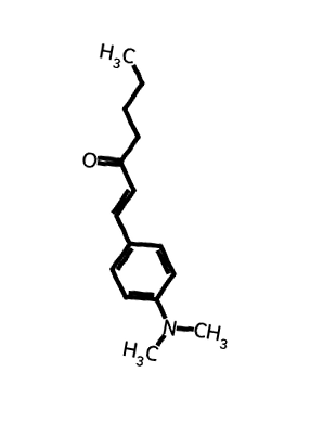 CCCCC(=O)C=Cc1ccc(N(C)C)cc1